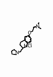 CN(C)CCOc1ccc2c(c1)CCC(CN1CCCC1)C2.Cl